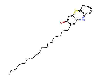 CCCCCCCCCCCCCCCCCc1cc2nc3ccccc3sc-2cc1=O